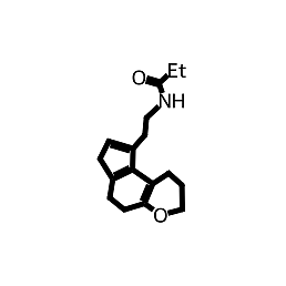 CCC(=O)NCCC1=CCC2=C1C1=C(CC2)OCCC1